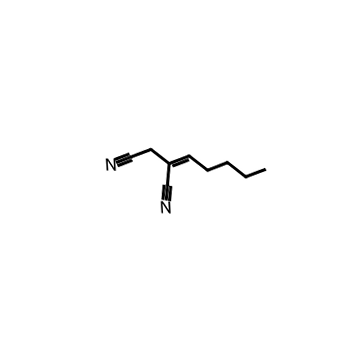 CCCCC=C(C#N)CC#N